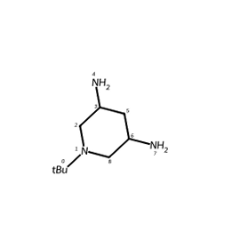 CC(C)(C)N1CC(N)CC(N)C1